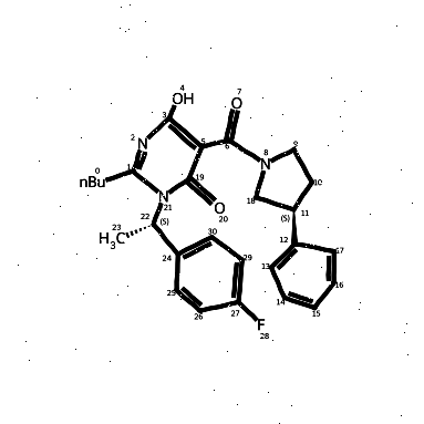 CCCCc1nc(O)c(C(=O)N2CC[C@@H](c3ccccc3)C2)c(=O)n1[C@@H](C)c1ccc(F)cc1